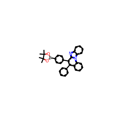 CC1(C)OB(c2ccc(-c3c(-c4ccccc4)c4ccccc4n4c3nc3ccccc34)cc2)OC1(C)C